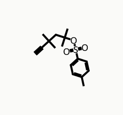 C#CC(C)(C)CC(C)(C)OS(=O)(=O)c1ccc(C)cc1